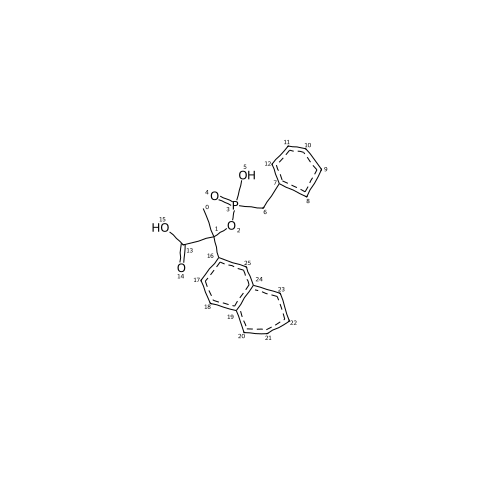 CC(OP(=O)(O)Cc1ccccc1)(C(=O)O)c1ccc2ccccc2c1